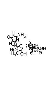 C[C@@]1(O)[C@H](O)[C@@H](COP(O)(=S)OP(=O)(O)OP(=O)(O)O)O[C@H]1n1cnc2c(=O)[nH]c(N)nc21